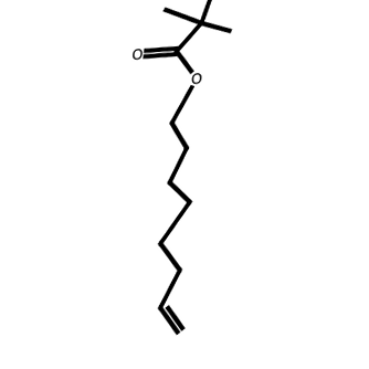 C=CCCCCCCOC(=O)C(C)(C)C